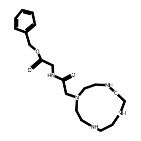 O=C(CN1CCNCCNCCNCC1)NCC(=O)OCc1ccccc1